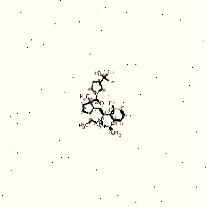 C=C/N=N\C(=C/C1[C@H](C(C)C)CC[C@]1(C)C(=O)N1CCC(C(F)(F)F)C1)c1c(F)cccc1F